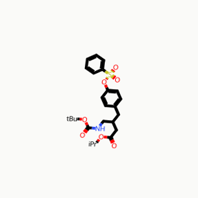 CC(C)OC(=O)CC(CNC(=O)OC(C)(C)C)Cc1ccc(OS(=O)(=O)c2ccccc2)cc1